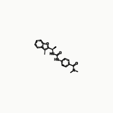 Cc1c([C@@H](C)NC(=O)Nc2ccc(C(=O)N(C)C)cc2)oc2ccccc12